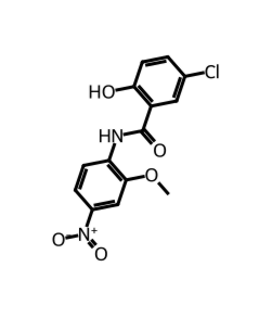 COc1cc([N+](=O)[O-])ccc1NC(=O)c1cc(Cl)ccc1O